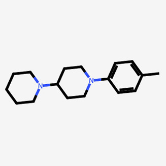 Cc1ccc(N2CCC(N3CCCCC3)CC2)cc1